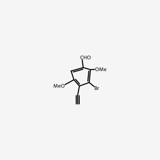 C#Cc1c(OC)cc(C=O)c(OC)c1Br